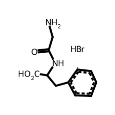 Br.NCC(=O)NC(Cc1[c]cccc1)C(=O)O